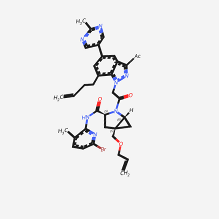 C=CCCc1cc(-c2cnc(C)nc2)cc2c(C(C)=O)nn(CC(=O)N3[C@H](C(=O)Nc4nc(Br)ccc4C)C[C@@]4(COCC=C)C[C@@H]34)c12